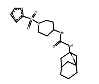 O=C(NC1CCN(S(=O)(=O)c2cccs2)CC1)NC12CC3CCCC(C3)(C1)C2